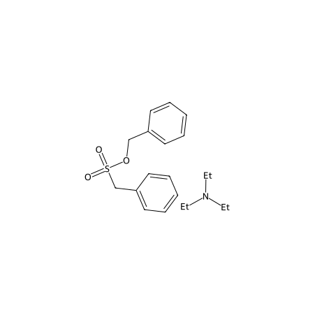 CCN(CC)CC.O=S(=O)(Cc1ccccc1)OCc1ccccc1